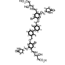 Cc1c(COc2nc(OC[C@@H]3CCC(=O)N3)c(CNCC(O)CC(=O)O)cc2Br)cccc1-c1cccc(COc2nc(OC[C@@H]3CCC(=O)N3)c(CNCC(O)CC(=O)O)cc2Br)c1C